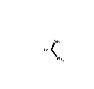 BC[SiH3].[Fe]